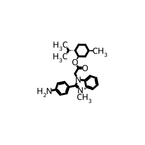 CC(C)[C@@H]1CC[C@@H](C)C[C@H]1OC(=O)Cn1c(-c2ccc(N)cc2)[n+](C)c2ccccc21